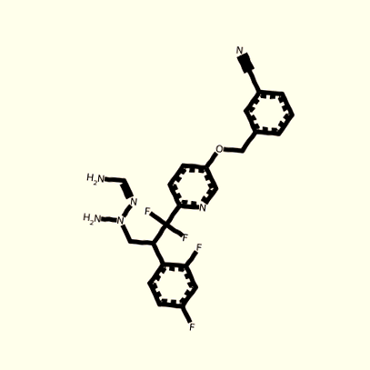 N#Cc1cccc(COc2ccc(C(F)(F)C(CN(N)/N=C\N)c3ccc(F)cc3F)nc2)c1